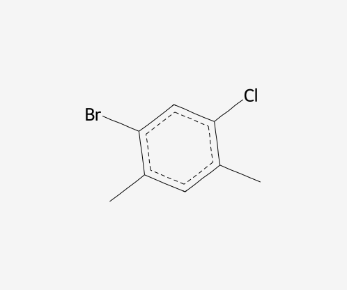 Cc1cc(C)c(Br)cc1Cl